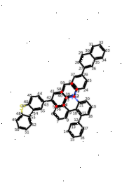 c1ccc(-c2ccccc2-c2c(-c3ccccc3)cccc2N(c2ccc(-c3ccc4ccccc4c3)cc2)c2ccc(-c3ccc4sc5ccccc5c4c3)cc2)cc1